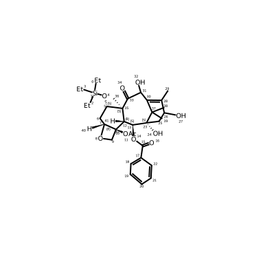 CC[Si](CC)(CC)O[C@H]1C[C@H]2OC[C@@]2(OC(C)=O)[C@H]2[C@H](OC(=O)c3ccccc3)[C@]3(O)CC(O)C(C)=C(C(O)C(=O)[C@]12C)C3(C)C